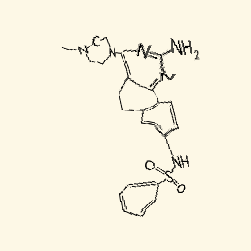 CN1CCN(c2nc(N)nc3c2CCc2cc(NS(=O)(=O)c4ccccc4)ccc2-3)CC1